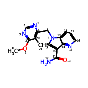 COc1ncnc(Cn2cc(C(N)=O)c3ncccc32)c1C